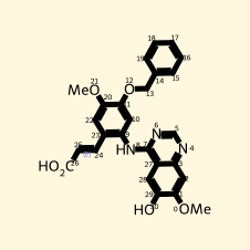 COc1cc2ncnc(Nc3cc(OCc4ccccc4)c(OC)cc3/C=C/C(=O)O)c2cc1O